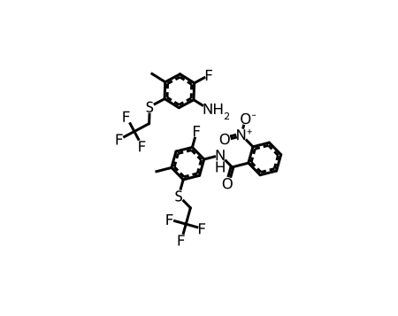 Cc1cc(F)c(N)cc1SCC(F)(F)F.Cc1cc(F)c(NC(=O)c2ccccc2[N+](=O)[O-])cc1SCC(F)(F)F